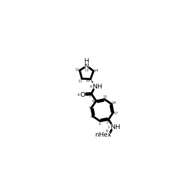 CCCCCCNC1=C/C=C\C(C(=O)N[C@@H]2CCNC2)=C/C=C\1